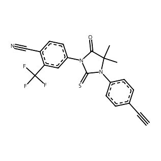 C#Cc1ccc(N2C(=S)N(c3ccc(C#N)c(C(F)(F)F)c3)C(=O)C2(C)C)cc1